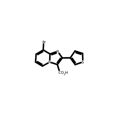 O=C(O)c1c(-c2ccsc2)nc2c(Br)cccn12